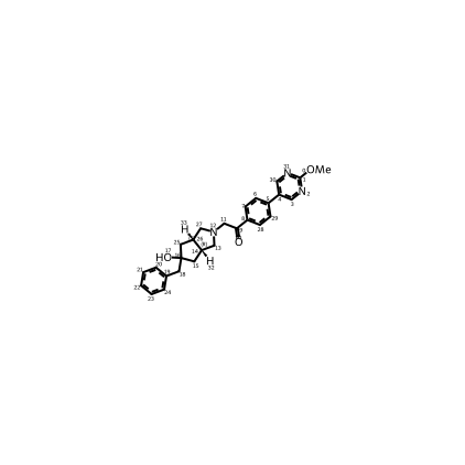 COc1ncc(-c2ccc(C(=O)CN3C[C@@H]4CC(O)(Cc5ccccc5)C[C@@H]4C3)cc2)cn1